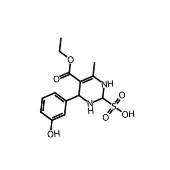 CCOC(=O)C1=C(C)NC(S(=O)(=O)O)NC1c1cccc(O)c1